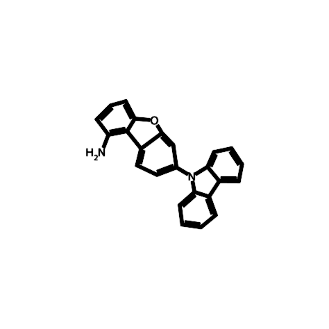 Nc1cccc2oc3cc(-n4c5ccccc5c5ccccc54)ccc3c12